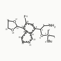 CC(C)(C)[Si](C)(C)OC(CN)c1cc(F)c(C2OCCO2)c2ccncc12